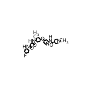 Cc1cc(Oc2ccnc(NC(=O)C3CCN(C)CC3)c2)ccc1NC(=O)CC(=O)Nc1ccc(F)cc1